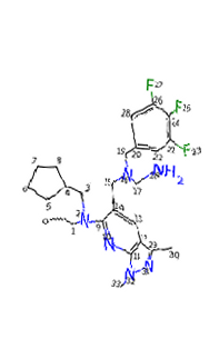 CCN(CC1CCCC1)c1nc2c(cc1CN(CN)Cc1cc(F)c(F)c(F)c1)c(C)nn2C